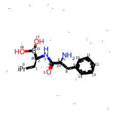 CC(C)C[C@H](NC(=O)[C@@H](N)Cc1ccccc1)B(O)O